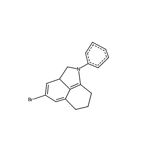 BrC1=CC2CN(c3ccccc3)C3=C2C(=C1)CCC3